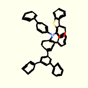 c1ccc(-c2ccc(N(c3ccc(-c4cc(-c5ccccc5)cc(-c5ccccc5)c4)cc3-c3ccccc3)c3cccc4c3sc3ccccc34)cc2)cc1